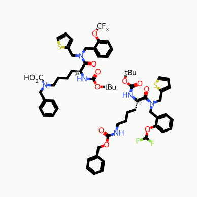 CC(C)(C)OC(=O)N[C@@H](CCCCN(Cc1ccccc1)C(=O)O)C(=O)N(Cc1cccs1)Cc1ccccc1OC(F)(F)F.CC(C)(C)OC(=O)N[C@@H](CCCCNC(=O)OCc1ccccc1)C(=O)N(Cc1cccs1)Cc1ccccc1OC(F)F